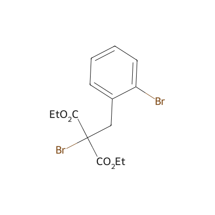 CCOC(=O)C(Br)(Cc1ccccc1Br)C(=O)OCC